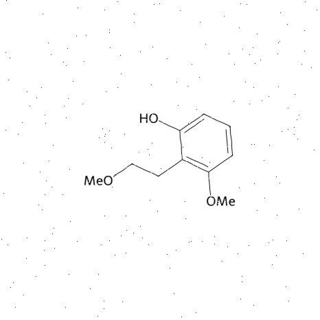 COCCc1c(O)cccc1OC